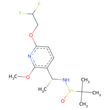 COc1nc(OCC(F)F)ccc1[C@@H](C)N[S+]([O-])C(C)(C)C